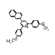 COc1ccc(-c2cc(-c3ccc4ccccc4c3)cc(-c3ccc(OC)cc3)n2)cc1